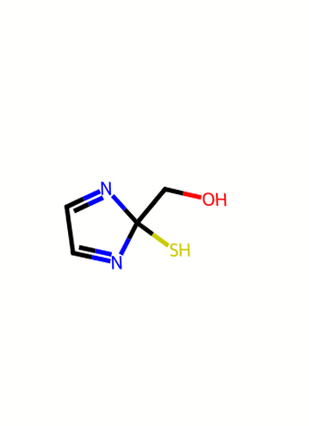 OCC1(S)N=CC=N1